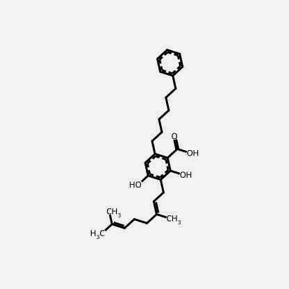 CC(C)=CCC/C(C)=C/Cc1c(O)cc(CCCCCCc2ccccc2)c(C(=O)O)c1O